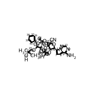 CC(C)C(=O)O[C@H]1[C@H](c2ccc3c(N)ncnn23)O[C@]2(C#N)C(O[P@@](=O)(N[C@@H](C)C(=O)OCC(C)(C)O)Oc3ccccc3)[C@]12OC(=O)C(C)C